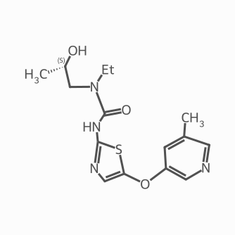 CCN(C[C@H](C)O)C(=O)Nc1ncc(Oc2cncc(C)c2)s1